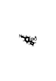 COBC1(c2ccc(C#N)cc2)CCC1